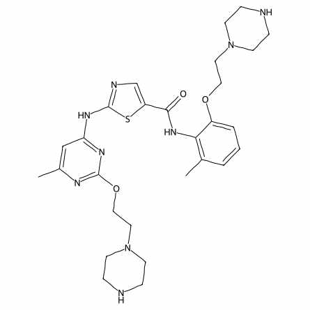 Cc1cc(Nc2ncc(C(=O)Nc3c(C)cccc3OCCN3CCNCC3)s2)nc(OCCN2CCNCC2)n1